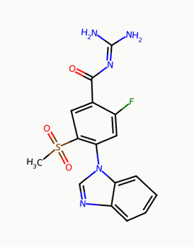 CS(=O)(=O)c1cc(C(=O)N=C(N)N)c(F)cc1-n1cnc2ccccc21